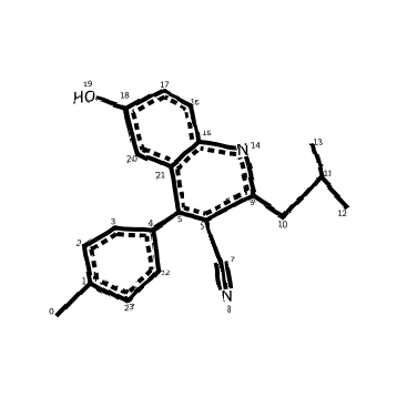 Cc1ccc(-c2c(C#N)c(CC(C)C)nc3ccc(O)cc23)cc1